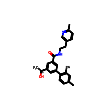 Cc1ccc(-c2cc(C(=O)NCCc3ccc(C)nc3)cc([C@@H](O)C(F)(F)F)c2)c(C#N)c1